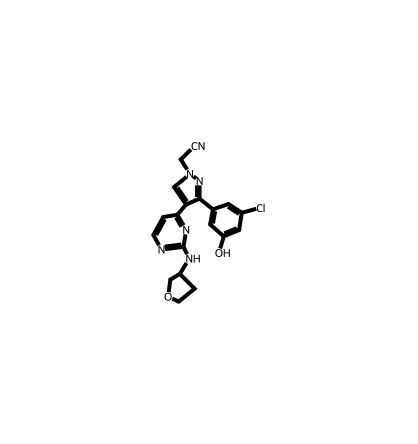 N#CCn1cc(-c2ccnc(NC3CCOC3)n2)c(-c2cc(O)cc(Cl)c2)n1